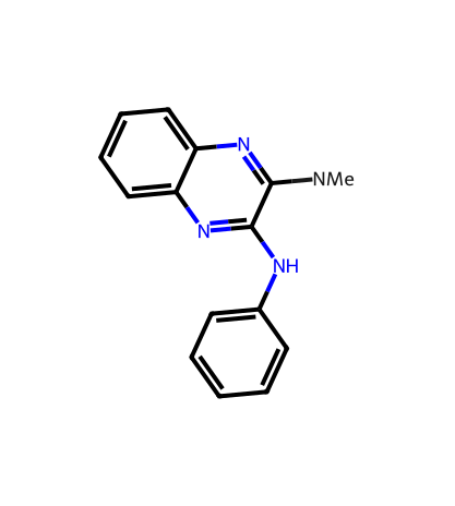 CNc1nc2ccccc2nc1Nc1ccccc1